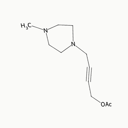 CC(=O)OCC#CCN1CCN(C)CC1